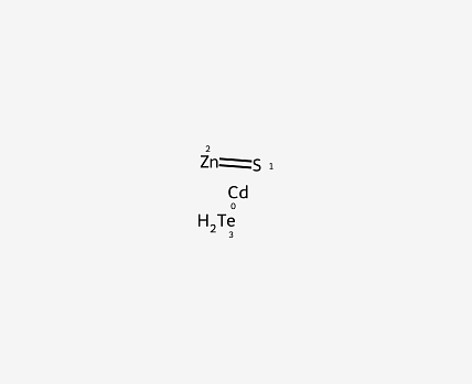 [Cd].[S]=[Zn].[TeH2]